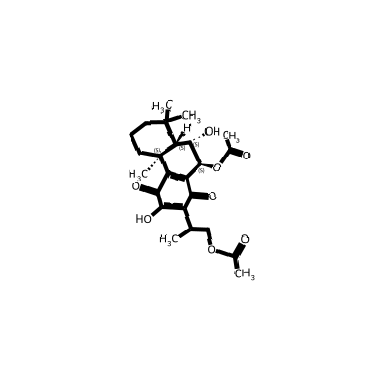 CC(=O)OCC(C)C1=C(O)C(=O)C2=C(C1=O)[C@H](OC(C)=O)[C@@H](O)[C@H]1C(C)(C)CCC[C@]21C